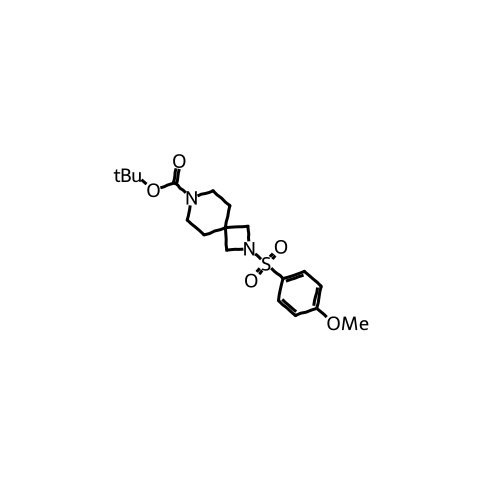 COc1ccc(S(=O)(=O)N2CC3(CCN(C(=O)OC(C)(C)C)CC3)C2)cc1